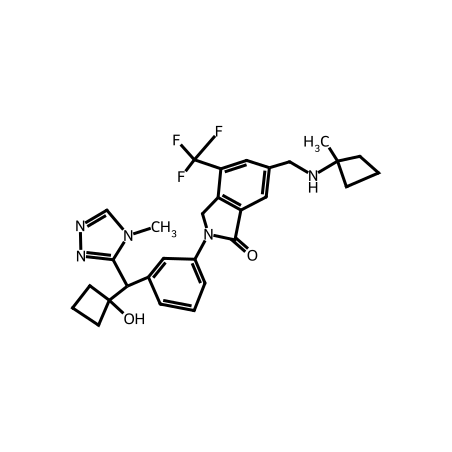 Cn1cnnc1C(c1cccc(N2Cc3c(cc(CNC4(C)CCC4)cc3C(F)(F)F)C2=O)c1)C1(O)CCC1